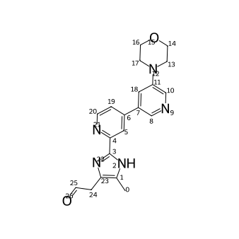 Cc1[nH]c(-c2cc(-c3cncc(N4CCOCC4)c3)ccn2)nc1CC=O